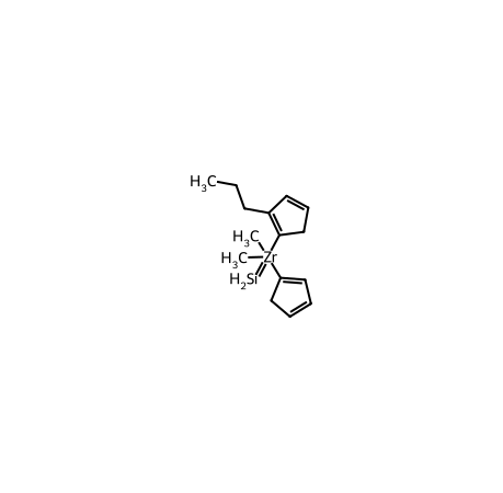 CCCC1=[C]([Zr]([CH3])([CH3])(=[SiH2])[C]2=CC=CC2)CC=C1